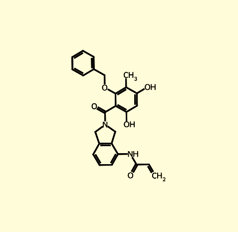 C=CC(=O)Nc1cccc2c1CN(C(=O)c1c(O)cc(O)c(C)c1OCc1ccccc1)C2